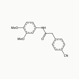 COc1ccc(NC(=O)[CH]c2ccc(C#N)cc2)cc1OC